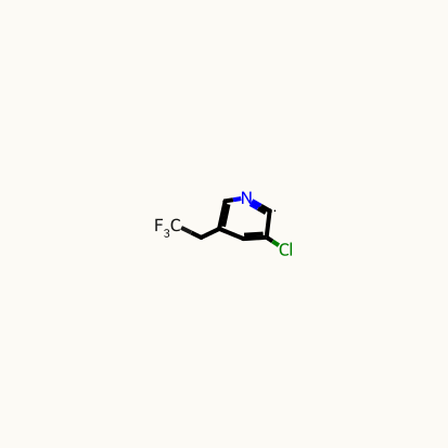 FC(F)(F)Cc1cn[c]c(Cl)c1